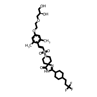 Cc1cc(OCCOC[C@H](O)CO)cc(C)c1C=CS(=O)(=O)N1CCC2(CC1)N=C(C1CCC(CCC(F)(F)F)CC1)NC2=O